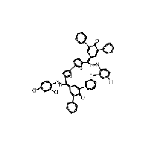 O=C1C(c2ccccc2)=CC(=C(/N=N/c2ccc(Cl)cc2Cl)c2ccc(-c3ccc(C(/N=N/c4ccc(Cl)cc4Cl)=C4C=C(c5ccccc5)C(=O)C(c5ccccc5)=C4)s3)s2)C=C1c1ccccc1